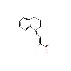 CO/C(=C\C=C1/CCCc2ccccc21)C(=O)O